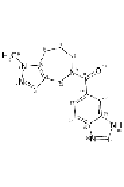 Cn1ncc2c1CCCN(C(=O)c1ccc3nc[nH]c3c1)C2